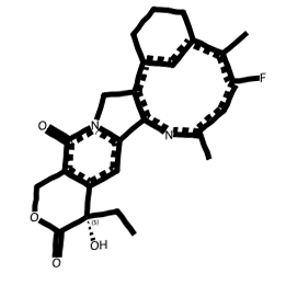 CC[C@@]1(O)C(=O)OCc2c1cc1n(c2=O)Cc2c3cc(c(C)c(F)cc(C)nc2-1)CCC3